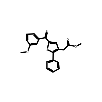 COC(=O)Cc1cc(C(=O)c2cccc(OC)c2)sc1-c1ccccc1